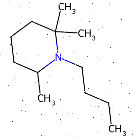 CCCCN1C(C)CCCC1(C)C